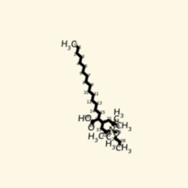 CCCCCCCCCCCCCCCCC(C(=O)O)C1CC(C)(C)N(OCCC)C(C)(C)C1